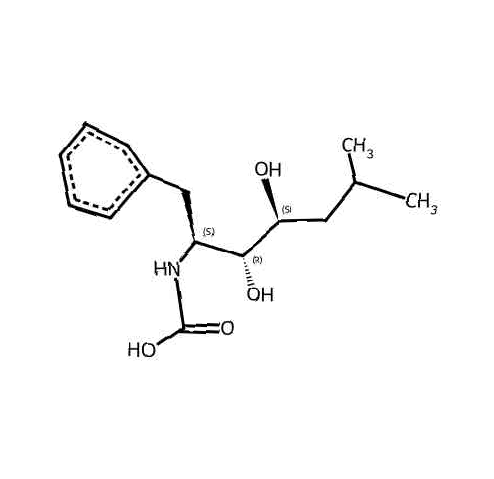 CC(C)C[C@H](O)[C@H](O)[C@H](Cc1ccccc1)NC(=O)O